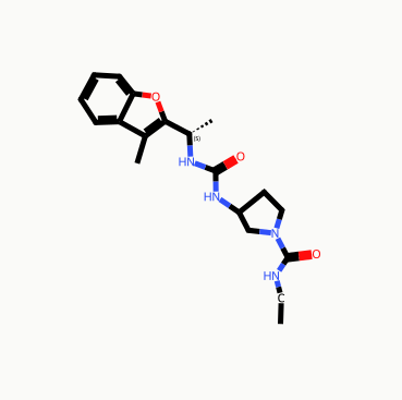 CCNC(=O)N1CCC(NC(=O)N[C@@H](C)c2oc3ccccc3c2C)C1